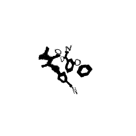 CC(C)C(C(=O)OC(C#N)c1cccc(Oc2ccccc2)c1)C(C)C#Cc1ccc(C#N)cc1